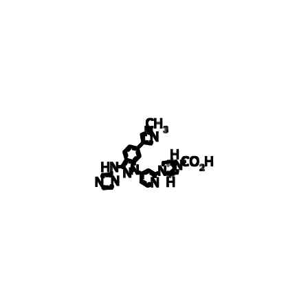 Cn1cc(-c2ccc3c(Nc4cnccn4)nn(-c4ccnc(N5C[C@@H]6C[C@H]5CN6C(=O)O)c4)c3c2)cn1